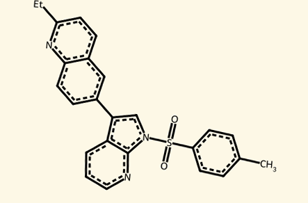 CCc1ccc2cc(-c3cn(S(=O)(=O)c4ccc(C)cc4)c4ncccc34)ccc2n1